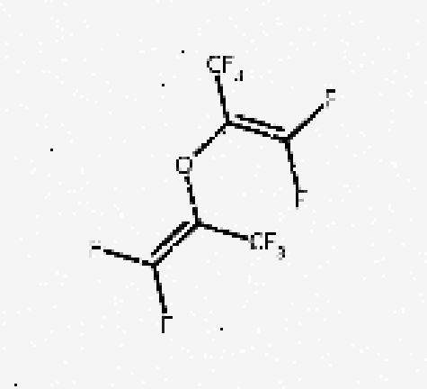 FC(F)=C(OC(=C(F)F)C(F)(F)F)C(F)(F)F